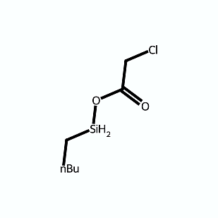 CCCCC[SiH2]OC(=O)CCl